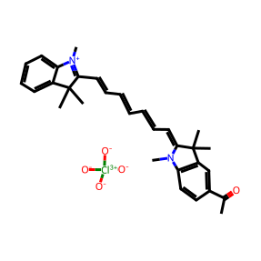 CC(=O)c1ccc2c(c1)C(C)(C)/C(=C/C=C/C=C/C=C/C1=[N+](C)c3ccccc3C1(C)C)N2C.[O-][Cl+3]([O-])([O-])[O-]